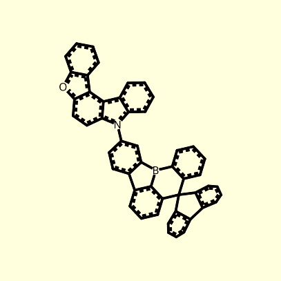 c1ccc2c(c1)B1c3cc(-n4c5ccccc5c5c6c(ccc54)oc4ccccc46)ccc3-c3cccc(c31)C21c2ccccc2-c2ccccc21